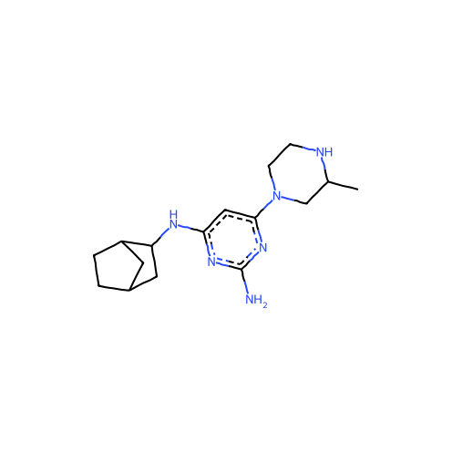 CC1CN(c2cc(NC3CC4CCC3C4)nc(N)n2)CCN1